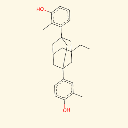 CCC12CC3CC(c4ccc(O)c(C)c4)(C1)CC(c1cccc(O)c1C)(C3)C2